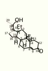 CC[C@]12CC[C@H]3[C@@H](CCC4=CC(=O)CC[C@@H]43)[C@H]1CC[C@@H]2[C@H](C)O